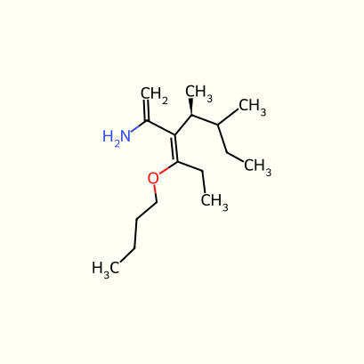 C=C(N)/C(=C(/CC)OCCCC)[C@@H](C)C(C)CC